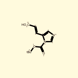 CC(C)(C)OC(=O)n1cncc1C=CC(=O)O